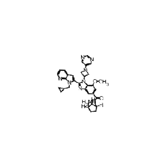 COc1cc(C(=O)N2C[C@H]3CC[C@@H]2[C@@H]3N)cc2nc(-c3cc4cccnc4n3CC3CC3)n(C3CN(c4cncnc4)C3)c12